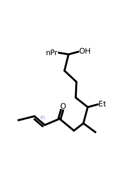 C/C=C/C(=O)CC(C)C(CC)CCCC(O)CCC